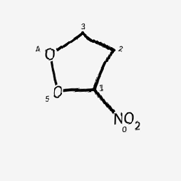 O=[N+]([O-])C1CCOO1